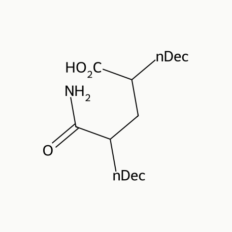 CCCCCCCCCCC(CC(CCCCCCCCCC)C(=O)O)C(N)=O